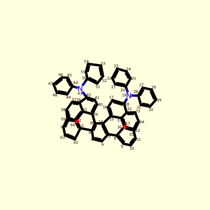 c1ccc(-c2ccc(-c3ccccc3)c(-c3ccc(N(c4ccccc4)c4ccccc4)c4ccccc34)c2-c2ccc(N(c3ccccc3)c3ccccc3)c3ccccc23)cc1